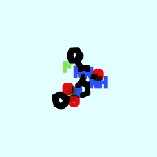 O=c1[nH]c2c(c3nc(-c4ccccc4F)cn13)CN(S(=O)(=O)c1ccccc1)CC2